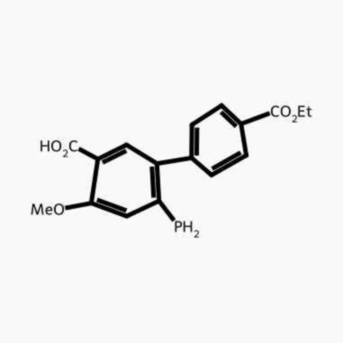 CCOC(=O)c1ccc(-c2cc(C(=O)O)c(OC)cc2P)cc1